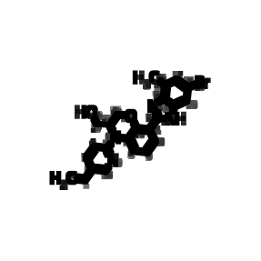 C=Cc1ccc(N2c3cccc(-c4nc5c(C)cc(Br)cc5[nH]4)c3OC[C@@H]2CO)nc1